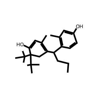 CCCC(C1=C(C)C=C(O)C(C(C)(C)C)(C(C)(C)C)C1)c1ccc(O)cc1C